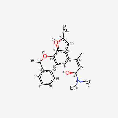 CCN(CC)C(=O)/C=C(/C)c1ccc(OC(C)c2ccccc2)c2oc(C(C)=O)cc12